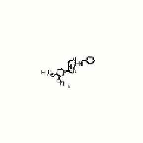 COc1ccc(-c2cnc3c(NCc4ccccc4)nccn23)cc1OC